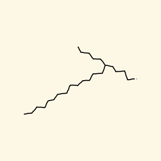 [CH2]CCCCC(CCCCC)CCCCCCCCCCCCCC